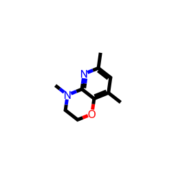 Cc1cc(C)c2c(n1)N(C)CCO2